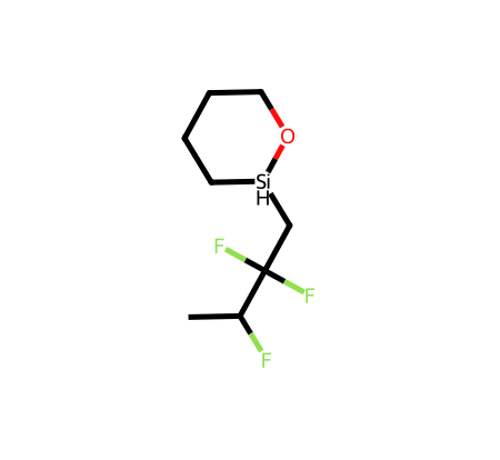 CC(F)C(F)(F)C[SiH]1CCCCO1